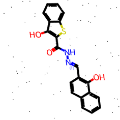 O=C(N/N=C/c1ccc2ccccc2c1O)c1sc2ccccc2c1O